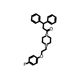 O=C(CC(c1ccccc1)c1ccccc1)N1CCN(CCOc2ccc(F)cc2)CC1